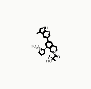 Cc1c[nH]c2ncc(-c3cc4c(c([C@@H]5CCCN5C(=O)O)c3)CN(C(=O)[C@](C)(O)C(F)(F)F)CC4)cc12